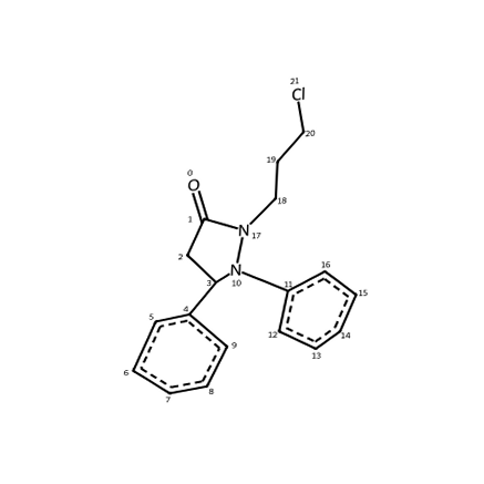 O=C1CC(c2ccccc2)N(c2ccccc2)N1CCCCl